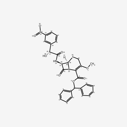 COC1=C(C(=O)OC(c2ccccc2)c2ccccc2)N2C(=O)[C@@H](NC(=O)[C@H](O)c3cccc([N+](=O)[O-])c3)[C@H]2SC1